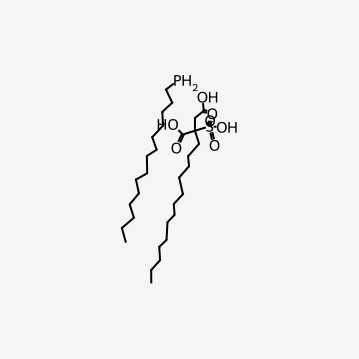 CCCCCCCCCCCCCC(CC(=O)O)(C(=O)O)S(=O)(=O)O.CCCCCCCCCCCCCCP